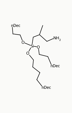 CCCCCCCCCCCCCCO[Si](CC(C)CN)(OCCCCCCCCCCCC)OCCCCCCCCCCCC